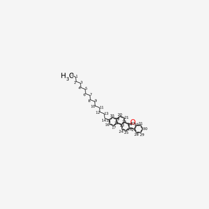 CCCCCCCCCCCCCCCc1ccc2c(ccc3c2ccc2c4ccccc4oc23)c1